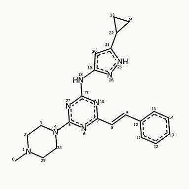 CN1CCN(c2nc(/C=C/c3ccccc3)nc(Nc3cc(C4CC4)[nH]n3)n2)CC1